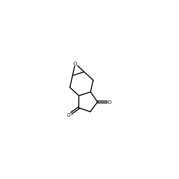 O=C1CC(=O)C2CC3OC3CC12